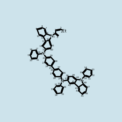 C=C(/C=C\CC)n1c2ccccc2c2cc(N(c3ccccc3)c3ccc(-c4ccc(N(c5ccccc5)c5ccc6c(c5)c5ccccc5n6-c5ccccc5)cc4)cc3)ccc21